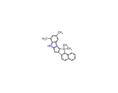 Cc1cc(C)c2[nH]c3cc4c(n3c2c1)C(C)(C)c1c-4ccc2ccccc12